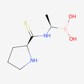 C[C@H](NC(=S)[C@@H]1CCCN1)B(O)O